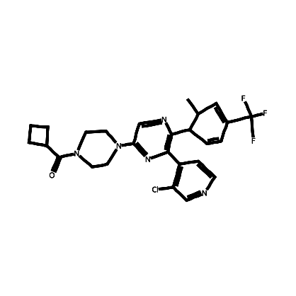 CC1C=C(C(F)(F)F)C=CC1c1ncc(N2CCN(C(=O)C3CCC3)CC2)nc1-c1ccncc1Cl